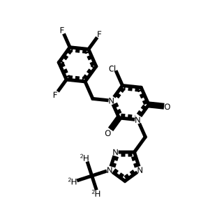 [2H]C([2H])([2H])n1cnc(Cn2c(=O)cc(Cl)n(Cc3cc(F)c(F)cc3F)c2=O)n1